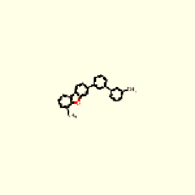 Cc1cccc(-c2cccc(-c3ccc4c(c3)oc3c(C)cccc34)c2)c1